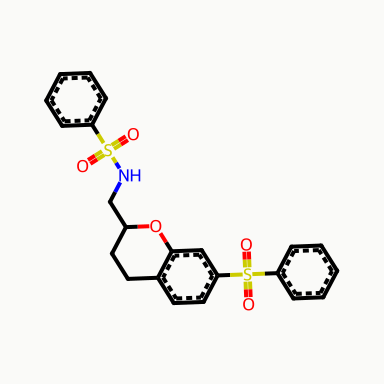 O=S(=O)(NCC1CCc2ccc(S(=O)(=O)c3ccccc3)cc2O1)c1ccccc1